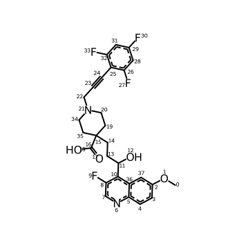 COc1ccc2ncc(F)c(C(O)CCC3(C(=O)O)CCN(CC#Cc4c(F)cc(F)cc4F)CC3)c2c1